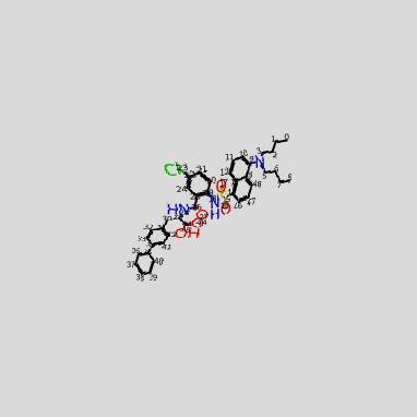 CCCCN(CCCC)c1cccc2c(S(=O)(=O)Nc3ccc(Cl)cc3C(=O)N[C@@H](Cc3ccc(-c4ccccc4)cc3)C(=O)O)cccc12